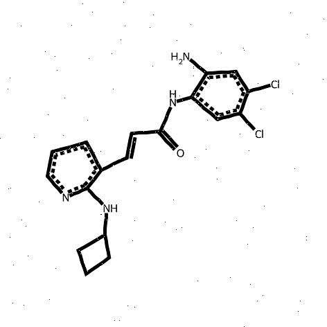 Nc1cc(Cl)c(Cl)cc1NC(=O)/C=C/c1cccnc1NC1CCC1